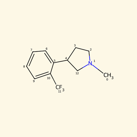 CN1CCC(c2ccccc2C(F)(F)F)C1